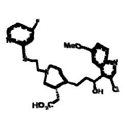 COc1ccc2ncc(Cl)c([C@@H](O)CC[C@@H]3CCN(CCSc4cc(F)ccn4)C[C@H]3CC(=O)O)c2c1